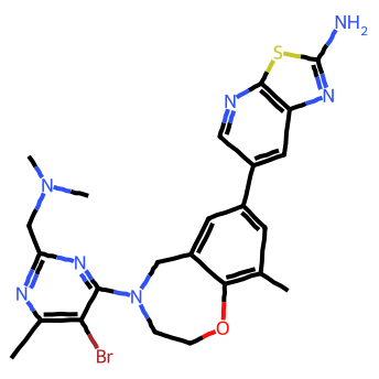 Cc1cc(-c2cnc3sc(N)nc3c2)cc2c1OCCN(c1nc(CN(C)C)nc(C)c1Br)C2